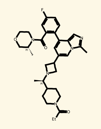 CCC(=O)N1CCC([C@@H](C)N2CC(c3cc(-c4ccc(F)cc4C(=O)N4CCOC[C@H]4C)c4cnc(C)n4c3)C2)CC1